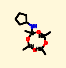 C[SiH]1O[SiH](C)O[Si](C)(NC2CCCC2)O[SiH](C)O1